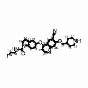 N#Cc1cc2c(Oc3ccc4c(ccn4C(=O)NCCF)c3)ccnc2cc1OCC1CCNCC1